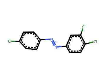 Clc1ccc(/N=N/c2ccc(Cl)c(Cl)c2)cc1